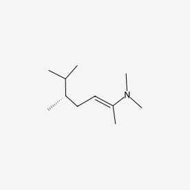 C/C(=C\C[C@H](C)C(C)C)N(C)C